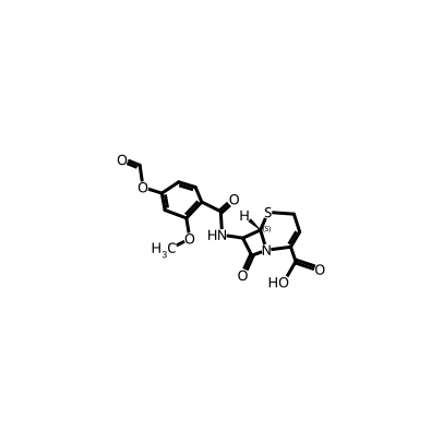 COc1cc(OC=O)ccc1C(=O)NC1C(=O)N2C(C(=O)O)=CCS[C@@H]12